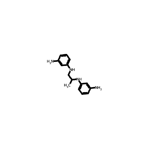 CC(CNc1cccc(N)c1)Nc1cccc(N)c1